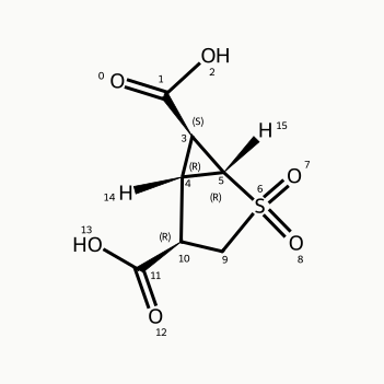 O=C(O)[C@@H]1[C@@H]2[C@H]1S(=O)(=O)C[C@H]2C(=O)O